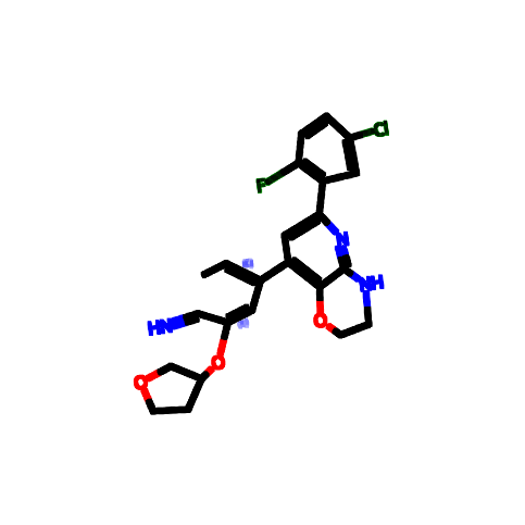 C/C=C(\C=C(/C=N)OC1CCOC1)c1cc(-c2cc(Cl)ccc2F)nc2c1OCCN2